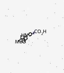 C=CCC(CC)(CC)c1cc(Nc2ccc(/C=C/C(=O)O)cc2)ccc1OC